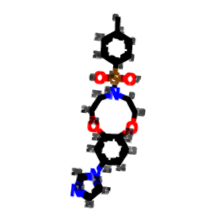 Cc1ccc(S(=O)(=O)N2CCOc3ccc(-n4ccnc4)cc3OCC2)cc1